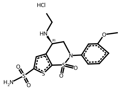 CCN[C@H]1CN(c2cccc(OC)c2)S(=O)(=O)c2sc(S(N)(=O)=O)cc21.Cl